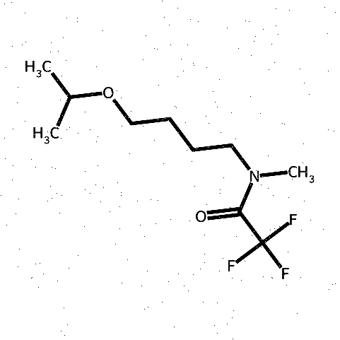 CC(C)OCCCCN(C)C(=O)C(F)(F)F